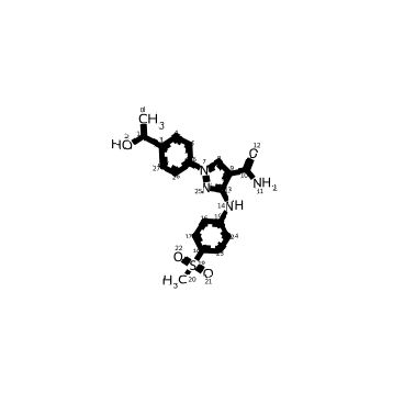 CC(O)c1ccc(-n2cc(C(N)=O)c(Nc3ccc(S(C)(=O)=O)cc3)n2)cc1